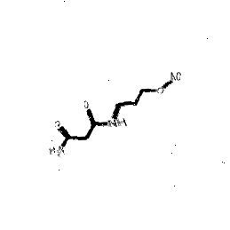 NC(=O)CC(=O)NCCCON=O